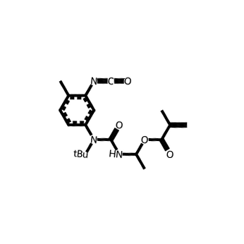 C=C(C)C(=O)OC(C)NC(=O)N(c1ccc(C)c(N=C=O)c1)C(C)(C)C